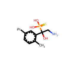 Cc1ccc(C(C)C)cc1C(O)(CN)P(O)(O)=S